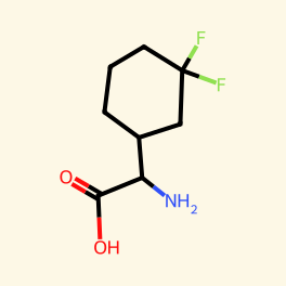 NC(C(=O)O)C1CCCC(F)(F)C1